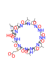 C/C=C/C[C@@H](C)[C@@H](O)[C@@H]1C(=O)N[C@@H](CC)C(=O)N(C)[C@H](CSCCC(=O)OC)C(=O)N(C)[C@@](C=O)(CC(C)C)N[C@H](C(C)C)C(=O)N(C)[C@H](CC(C)C)C(=O)NC(=O)C(C)NC(=O)N(C)C(=O)C(CC(C)C)N(C)[C@H](CC(C)C)C(=O)N(C)[C@H](C(C)C)C(=O)N1C